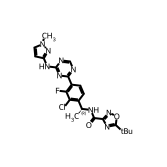 C[C@@H](NC(=O)c1noc(C(C)(C)C)n1)c1ccc(-c2ncnc(Nc3ccn(C)n3)n2)c(F)c1Cl